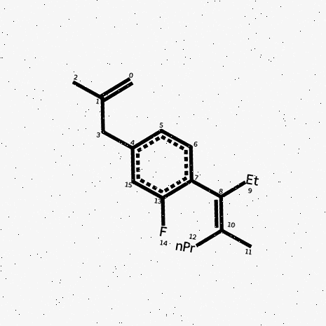 C=C(C)Cc1ccc(/C(CC)=C(/C)CCC)c(F)c1